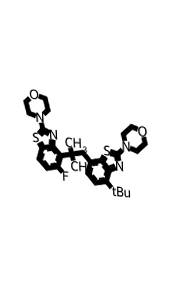 CC(C)(C)c1ccc(CC(C)(C)c2c(F)ccc3sc(N4CCOCC4)nc23)c2sc(N3CCOCC3)nc12